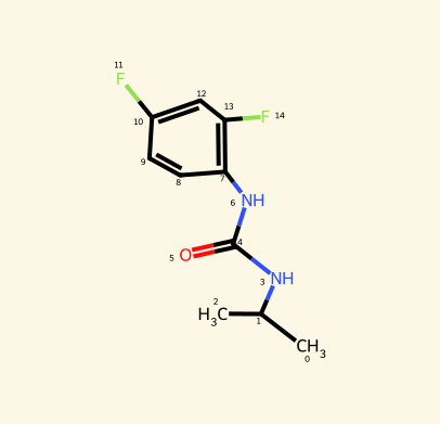 CC(C)NC(=O)Nc1ccc(F)cc1F